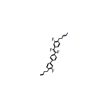 C=CCCc1ccc(-c2ccc(/C(F)=C(\F)c3ccc(CC/C=C/C)c(F)c3)cc2)cc1F